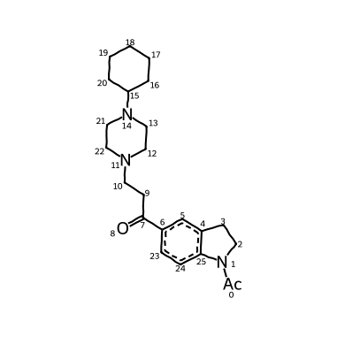 CC(=O)N1CCc2cc(C(=O)CCN3CCN(C4CCCCC4)CC3)ccc21